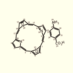 C1=Cc2cc3ccc(cc4nc(cc5ccc(cc1n2)[nH]5)C=C4)[nH]3.O=C(O)c1cc[c]([AlH2])cc1